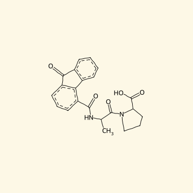 CC(NC(=O)c1cccc2c1-c1ccccc1C2=O)C(=O)N1CCCC1C(=O)O